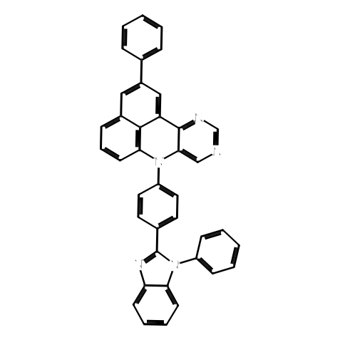 c1ccc(-c2cc3c4c(cccc4c2)N(c2ccc(-c4nc5ccccc5n4-c4ccccc4)cc2)c2cncnc2-3)cc1